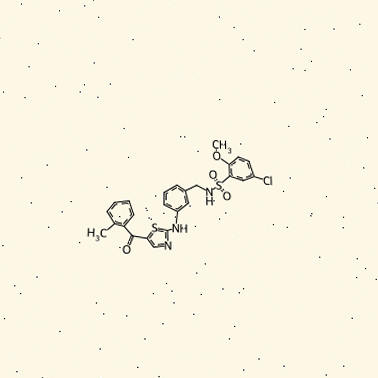 COc1ccc(Cl)cc1S(=O)(=O)NCc1cccc(Nc2ncc(C(=O)c3ccccc3C)s2)c1